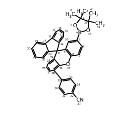 CC1(C)OB(c2ccc3c(c2)C2(c4ccccc4-c4ccccc42)c2cccc(-c4ccc(C#N)cc4)c2O3)OC1(C)C